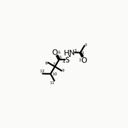 CC(=O)NSC(=O)C(C)(C)C(C)C